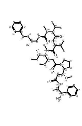 CC[C@H](C)[C@@H]([C@@H](CC(=O)N1CCC[C@H]1[C@H](OC)[C@@H](C)C(=O)N[C@H](C)[C@@H](O)c1ccccc1)OC)N(C)C(=O)[C@@H](NC(=O)[C@H](C(C)C)N(C)C(=O)OC[C@H](C)SSc1ccccn1)C(C)C